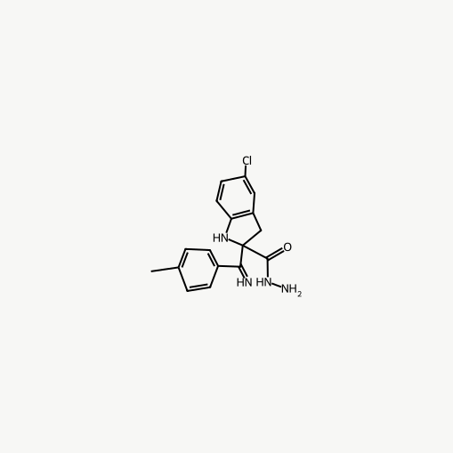 Cc1ccc(C(=N)C2(C(=O)NN)Cc3cc(Cl)ccc3N2)cc1